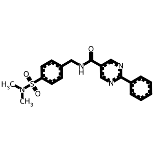 CN(C)S(=O)(=O)c1ccc(CNC(=O)c2cnc(-c3ccccc3)nc2)cc1